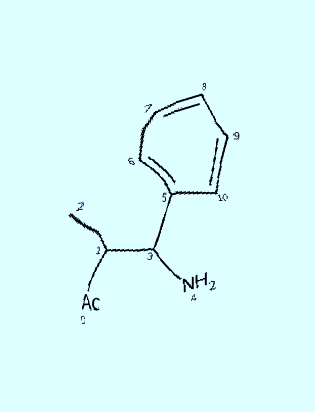 CC(=O)C(C)C(N)c1ccccc1